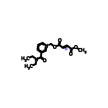 CCN(CC)C(=O)c1ccc[n+](COC(=O)/C=C/C(=O)OC)c1